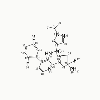 CC(C)n1cc(C(=O)Nc2c(-c3cc(F)ccc3F)ccnc2N2CCC(F)(P)C2)cn1